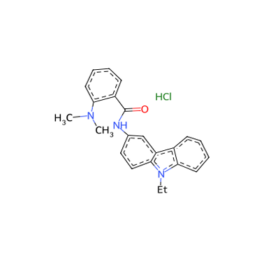 CCn1c2ccccc2c2cc(NC(=O)c3ccccc3N(C)C)ccc21.Cl